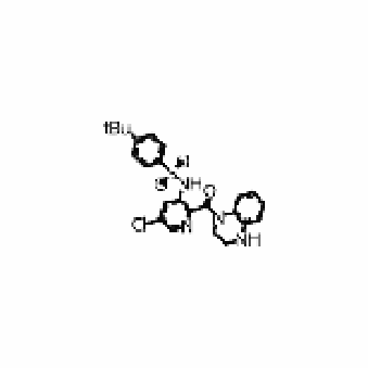 CC(C)(C)c1ccc(S(=O)(=O)Nc2cc(Cl)cnc2C(=O)N2CCNc3ccccc32)cc1